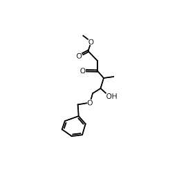 COC(=O)CC(=O)C(C)C(O)COCc1ccccc1